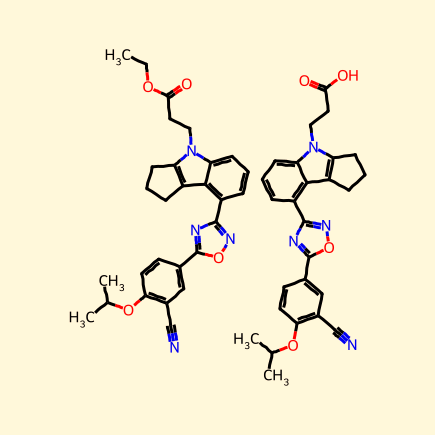 CC(C)Oc1ccc(-c2nc(-c3cccc4c3c3c(n4CCC(=O)O)CCC3)no2)cc1C#N.CCOC(=O)CCn1c2c(c3c(-c4noc(-c5ccc(OC(C)C)c(C#N)c5)n4)cccc31)CCC2